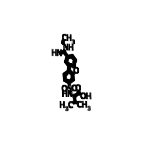 CCNC(=N)c1ccc2oc3cc(S(=O)(=O)N[C@H](C(=O)O)C(C)C)ccc3c2c1